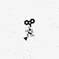 O=C(N[C@@H](COC1CC1)C(=O)O)OCC1c2ccccc2-c2ccccc21